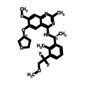 COCC(F)(F)c1cccc([C@@H](C)Nc2nc(C)nc3cc(OC)c(O[C@H]4CCOC4)cc23)c1C